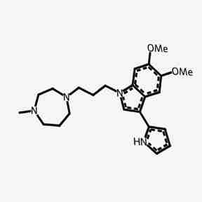 COc1cc2c(-c3ccc[nH]3)cn(CCCN3CCCN(C)CC3)c2cc1OC